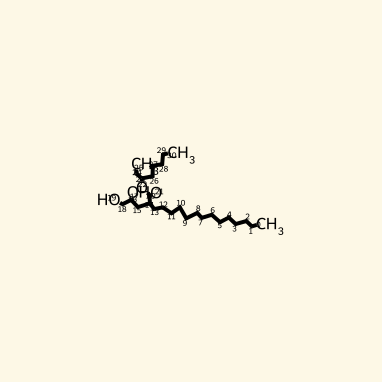 CCCCCCCCCCCCCCC(CC(O)CO)C(=O)OC(CC)CCCCC